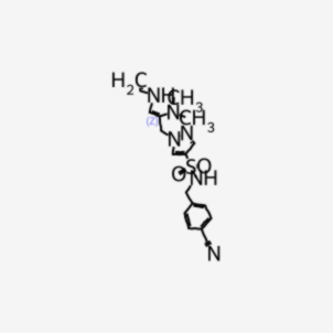 C=CN/C=C(/Cn1cc(S(=O)(=O)NCc2ccc(C#N)cc2)cn1)N(C)C